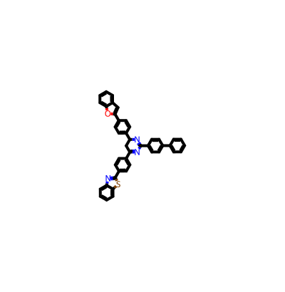 c1ccc(-c2ccc(C3=NC(c4ccc(-c5cc6ccccc6o5)cc4)CC(c4ccc(-c5nc6ccccc6s5)cc4)=N3)cc2)cc1